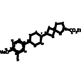 CCOC(=O)N1CCC2(CC(N3CCC(c4cnc(OC)c(C)c4)CC3)C2)C1